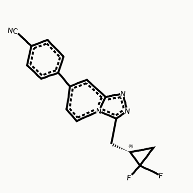 N#Cc1ccc(-c2ccn3c(C[C@@H]4CC4(F)F)nnc3c2)cc1